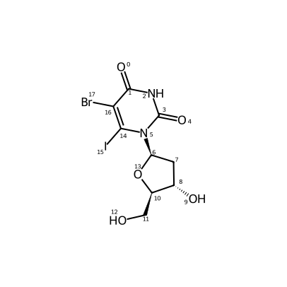 O=c1[nH]c(=O)n([C@H]2C[C@H](O)[C@@H](CO)O2)c(I)c1Br